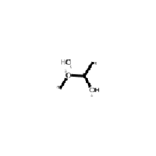 COC(C)O.Cl